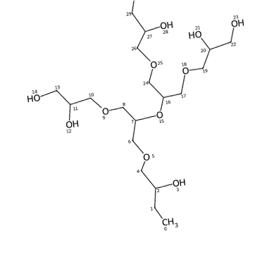 CCC(O)COCC(COCC(O)CO)OC(COCC(O)CO)COCC(O)CO